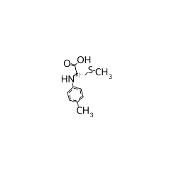 CSC[C@H](Nc1ccc(C)cc1)C(=O)O